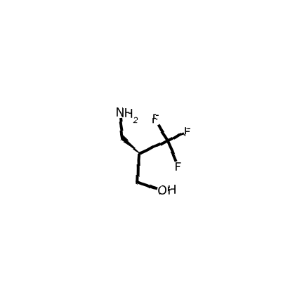 NC[C@H](CO)C(F)(F)F